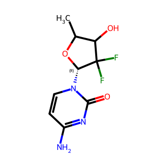 CC1O[C@@H](n2ccc(N)nc2=O)C(F)(F)C1O